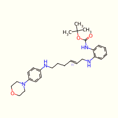 CC(C)(C)OC(=O)Nc1ccccc1NC/C=C/CCCNc1ccc(N2CCOCC2)cc1